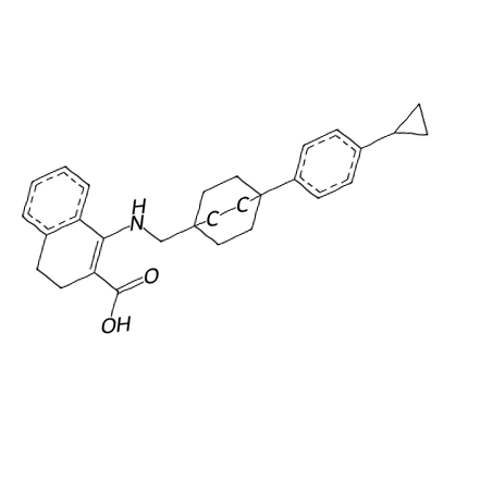 O=C(O)C1=C(NCC23CCC(c4ccc(C5CC5)cc4)(CC2)CC3)c2ccccc2CC1